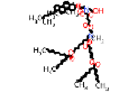 CCCCCCCCC(CCCCCC)C(=O)OCCCCCCC(CN(C)CCOC(=O)CCCC(=O)N(CC(=O)O)CC(=O)OC1CC[C@]2(C)C(=CCC3C4CCC(CCCCC(C)C)C4(C)CCC32)C1)OC(=O)CCCCCOC(=O)C(CCCCCC)CCCCCCCC